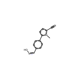 Cn1c(C#N)ccc1-c1ccc(/C=N\O)cc1